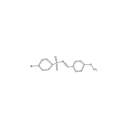 COc1ccc(/C=N/S(=O)(=O)c2ccc(Br)cc2)cc1